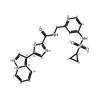 O=C(NCc1cc(NS(=O)(=O)C2CC2)ccn1)c1ncc(-c2cnn3ccccc23)s1